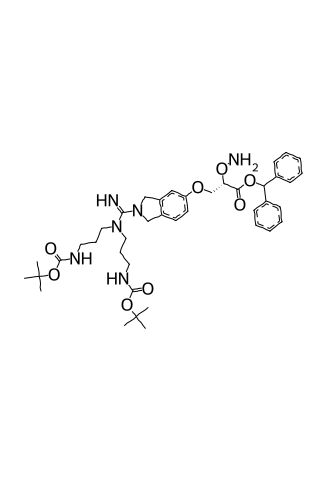 CC(C)(C)OC(=O)NCCCN(CCCNC(=O)OC(C)(C)C)C(=N)N1Cc2ccc(OC[C@H](ON)C(=O)OC(c3ccccc3)c3ccccc3)cc2C1